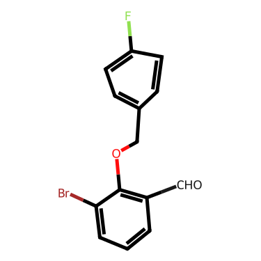 O=Cc1cccc(Br)c1OCc1ccc(F)cc1